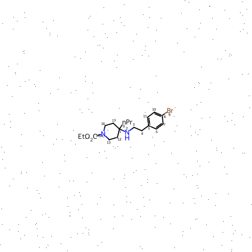 CCCC1(NCCc2ccc(Br)cc2)CCN(C(=O)OCC)CC1